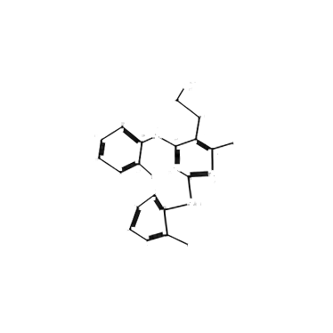 Cc1ccccc1Nc1nc(C)c(CCO)c(Nc2ccccc2C)n1